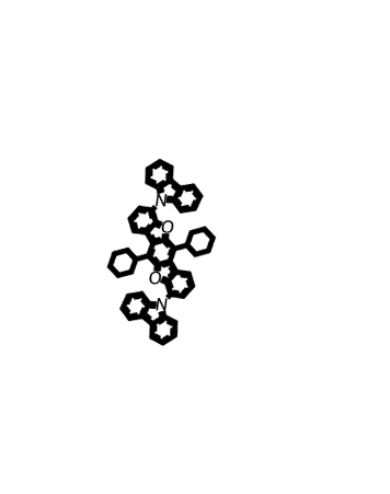 c1cc(-n2c3ccccc3c3ccccc32)c2oc3c(C4CCCCC4)c4c(oc5c(-n6c7ccccc7c7ccccc76)cccc54)c(C4CCCCC4)c3c2c1